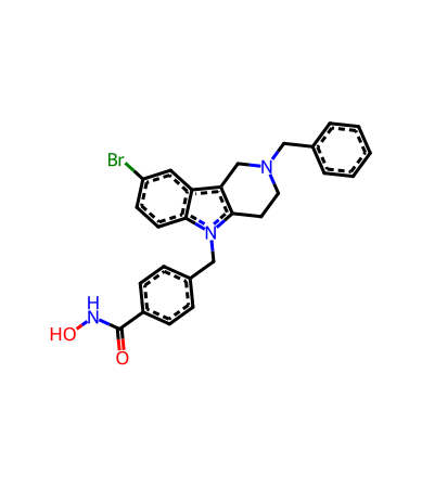 O=C(NO)c1ccc(Cn2c3c(c4cc(Br)ccc42)CN(Cc2ccccc2)CC3)cc1